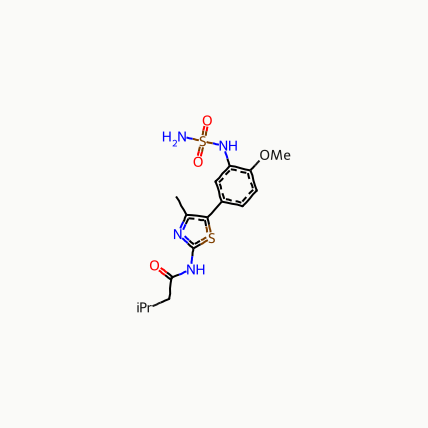 COc1ccc(-c2sc(NC(=O)CC(C)C)nc2C)cc1NS(N)(=O)=O